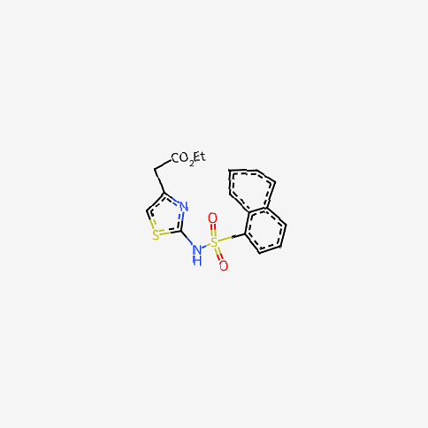 CCOC(=O)Cc1csc(NS(=O)(=O)c2cccc3ccccc23)n1